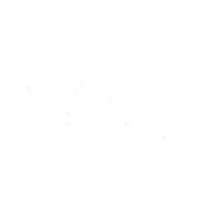 CC(NC(=O)c1c(-c2ccnn2-c2ccc(C#N)cc2)n(C)n(-c2cccc(C(F)(F)F)c2)c1=O)C(=O)N(C)CC1CC[N+](C)(C)CC1